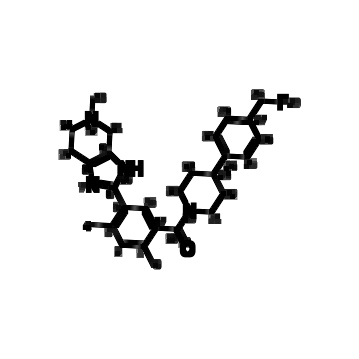 Cc1cc(C)c(-c2nc3c([nH]2)CN(C)CC3)cc1C(=O)N1CCC(c2ccc(CF)cc2)CC1